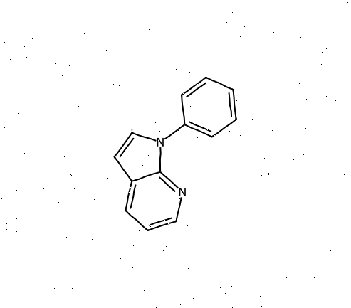 [c]1cc2cccnc2n1-c1ccccc1